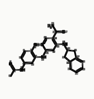 CC(=O)Nc1ccc(O)c(Nc2cc(NC3Cc4ccccc4C3)c(C(N)=O)cn2)c1